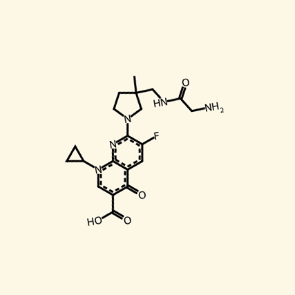 CC1(CNC(=O)CN)CCN(c2nc3c(cc2F)c(=O)c(C(=O)O)cn3C2CC2)C1